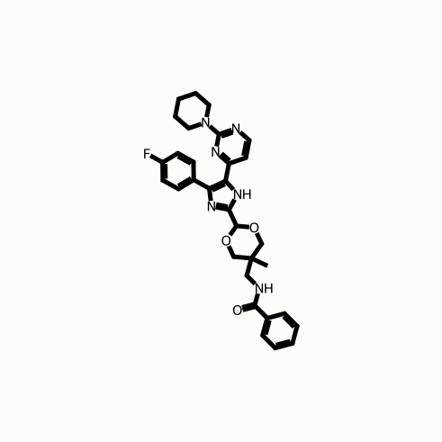 CC1(CNC(=O)c2ccccc2)COC(c2nc(-c3ccc(F)cc3)c(-c3ccnc(N4CCCCC4)n3)[nH]2)OC1